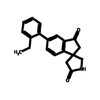 CCc1ccccc1-c1ccc2c(c1)C(=O)CC21CNC(=O)C1